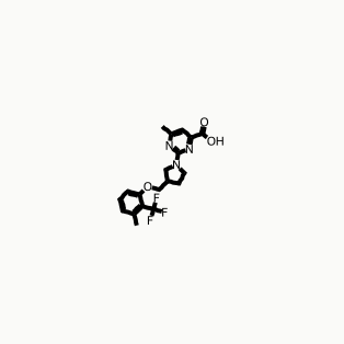 Cc1cc(C(=O)O)nc(N2CCC(COc3cccc(C)c3C(F)(F)F)C2)n1